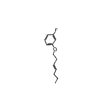 CCCC=CCCOc1cc[c]c(F)c1